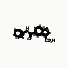 O=C(NC1CN2CCC1C2)c1cc2c(C(=O)O)coc2cn1